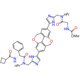 CCCN(Cc1ncc(-c2cc3c4c(c2)OCc2cc(-c5cnc(CN(CCC)C(=O)[C@H](NC(=O)C6CCC6)c6ccccc6)[nH]5)cc(c2-4)OC3)[nH]1)C(=O)CNC(=O)OC